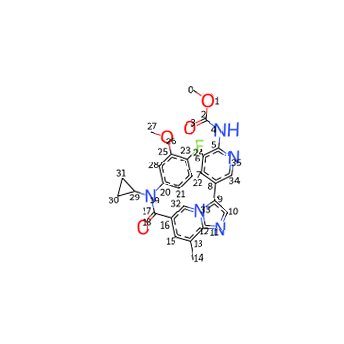 COC(=O)Nc1ccc(-c2cnc3c(C)cc(C(=O)N(c4ccc(F)c(OC)c4)C4CC4)cn23)cn1